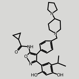 CC(C)c1cc(-c2noc(NC(=O)C3CC3)c2-c2ccc(CN3CCC(N4CCCC4)CC3)cc2)c(O)cc1O